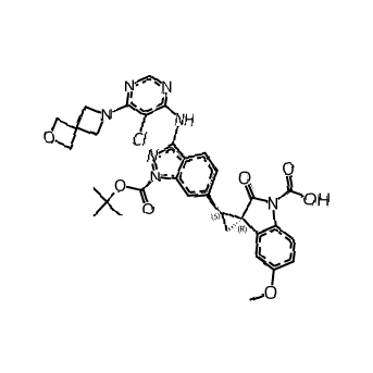 COc1ccc2c(c1)[C@]1(C[C@H]1c1ccc3c(Nc4ncnc(N5CC6(COC6)C5)c4Cl)nn(C(=O)OC(C)(C)C)c3c1)C(=O)N2C(=O)O